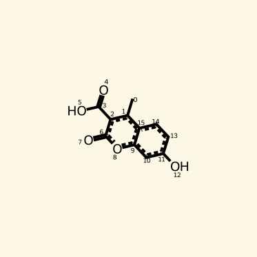 Cc1c(C(=O)O)c(=O)oc2cc(O)ccc12